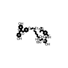 CCN(CCCCCC(=O)NC(C(=O)N1C[C@H](O)C[C@H]1C(=O)N[C@@H](C)c1ccc(-c2scnc2C)cc1)C(C)(C)C)CCOc1ccc(C(=O)c2c(-c3ccc(O)cc3)sc3cc(O)ccc23)cc1